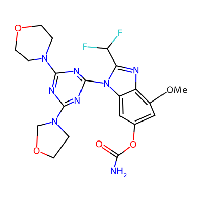 COc1cc(OC(N)=O)cc2c1nc(C(F)F)n2-c1nc(N2CCOCC2)nc(N2CCOC2)n1